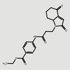 CCOC(=O)c1ccc(NC(=O)CCN2C(=O)C=C3C(=O)CCCC32)cc1